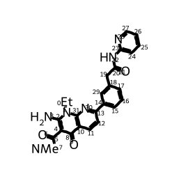 CCn1c(N)c(C(=O)NC)c(=O)c2ccc(-c3cccc(CC(=O)Nc4ccccn4)c3)nc21